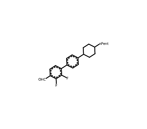 CCCCCC1CCC(c2ccc(-c3ccc(C=O)c(F)c3F)cc2)CC1